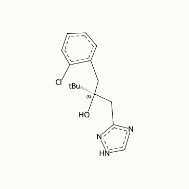 CC(C)(C)[C@@](O)(Cc1nc[nH]n1)Cc1ccccc1Cl